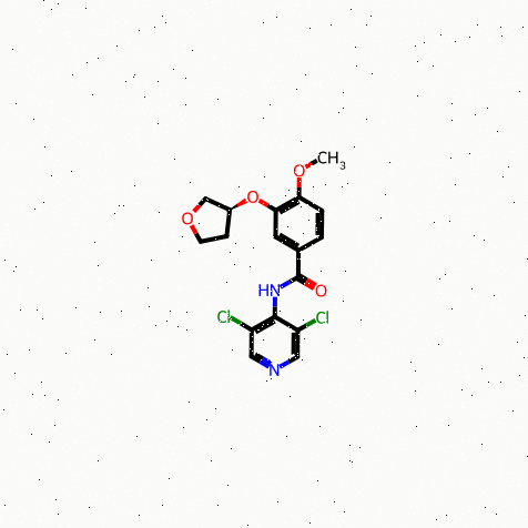 COc1ccc(C(=O)Nc2c(Cl)cncc2Cl)cc1O[C@H]1CCOC1